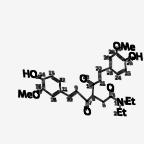 CCN(CC)C(=O)CC(C(=O)/C=C/c1ccc(O)c(OC)c1)C(=O)/C=C/c1ccc(O)c(OC)c1